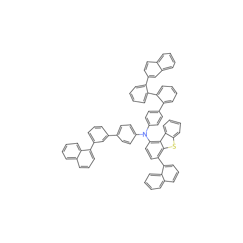 c1cc(-c2ccc(N(c3ccc(-c4ccccc4-c4ccccc4-c4ccc5ccccc5c4)cc3)c3ccc(-c4cccc5ccccc45)c4sc5ccccc5c34)cc2)cc(-c2cccc3ccccc23)c1